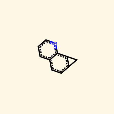 c1cnc2c3c(ccc2c1)C3